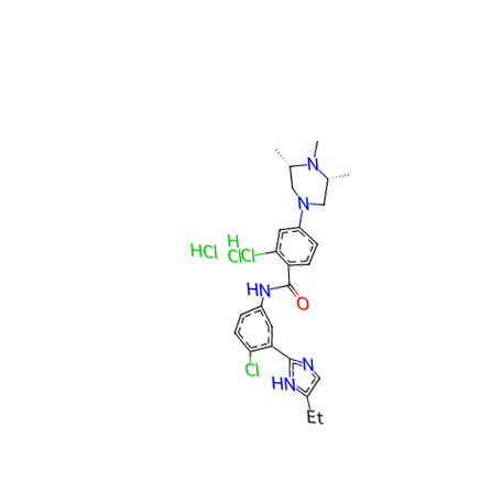 CCc1cnc(-c2cc(NC(=O)c3ccc(N4C[C@@H](C)N(C)[C@@H](C)C4)cc3Cl)ccc2Cl)[nH]1.Cl.Cl